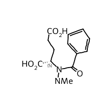 CNN(C(=O)c1ccccc1)[C@@H](CCC(=O)O)C(=O)O